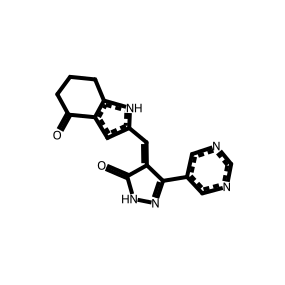 O=C1NN=C(c2cncnc2)C1=Cc1cc2c([nH]1)CCCC2=O